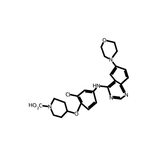 O=C(O)N1CCC(Oc2ccc(Nc3ncnc4ccc(N5CCOCC5)cc34)cc2Cl)CC1